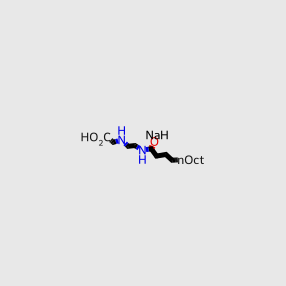 CCCCCCCCCCCC(=O)NCCNCC(=O)O.[NaH]